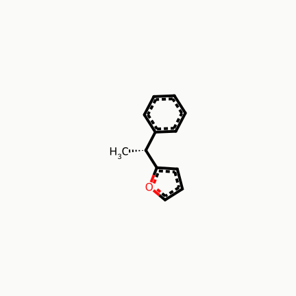 C[C@H](c1ccccc1)c1ccco1